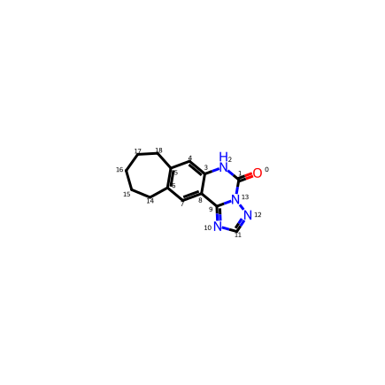 O=c1[nH]c2cc3c(cc2c2ncnn12)CCCCC3